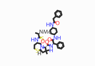 CN[C@@H](C)C(=S)N[C@H]1CCS[C@H]2CC(C)(C)[C@@H](C(=O)N[C@H](C(=O)N[C@H]3CC[C@H](NC(=O)Cc4ccccc4)CC3)c3ccccc3)N2C1=O